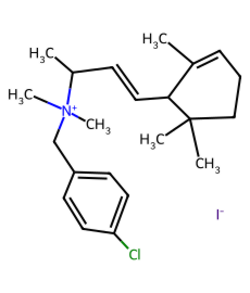 CC1=CCCC(C)(C)C1/C=C/C(C)[N+](C)(C)Cc1ccc(Cl)cc1.[I-]